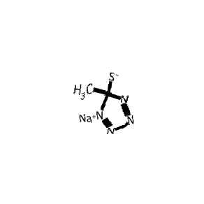 CC1([S-])N=NN=N1.[Na+]